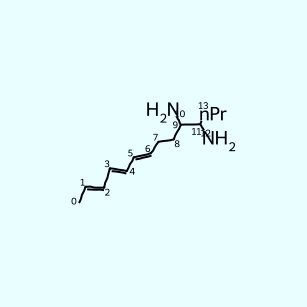 CC=CC=CC=CCCC(N)C(N)CCC